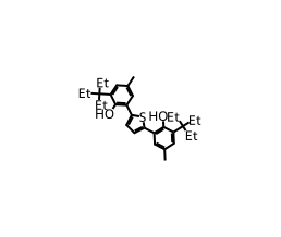 CCC(CC)(CC)c1cc(C)cc(-c2ccc(-c3cc(C)cc(C(CC)(CC)CC)c3O)s2)c1O